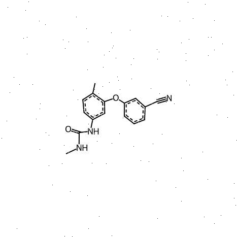 CNC(=O)Nc1ccc(C)c(Oc2cccc(C#N)c2)c1